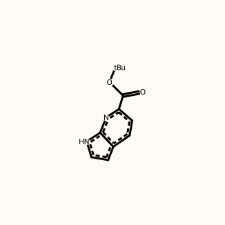 CC(C)(C)OC(=O)c1ccc2cc[nH]c2n1